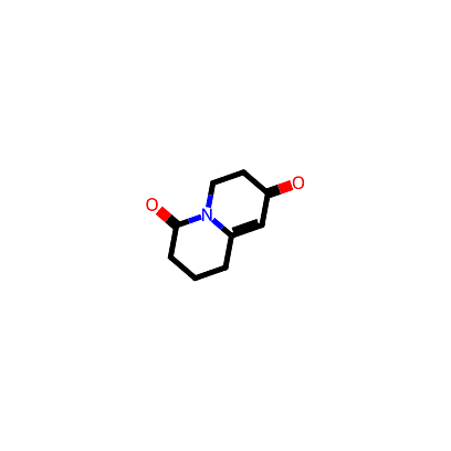 O=C1C=C2CCCC(=O)N2CC1